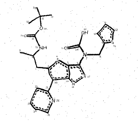 CC(Cc1sc2c(N(Cc3cccs3)C(=O)O)snc2c1-c1ccccn1)NC(=O)OC(C)(C)C